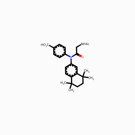 CC(=O)NCC(=O)N(c1ccc(C(=O)O)cc1)c1ccc2c(c1)C(C)(C)CCC2(C)C